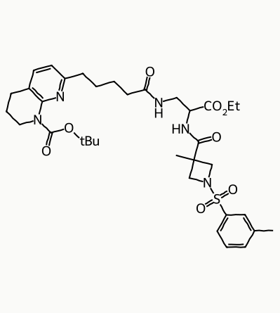 CCOC(=O)C(CNC(=O)CCCCc1ccc2c(n1)N(C(=O)OC(C)(C)C)CCC2)NC(=O)C1(C)CN(S(=O)(=O)c2cccc(C)c2)C1